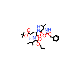 C=CCOC(=O)[C@H](NC(=O)[C@H](CCC(=O)OC(C)(C)C)NC(=O)[C@@H](NC(=O)OCc1ccccc1)C(C)C)C(C)CC